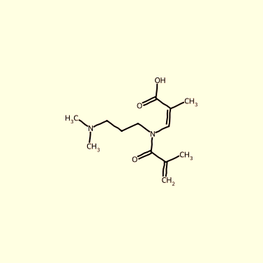 C=C(C)C(=O)N(C=C(C)C(=O)O)CCCN(C)C